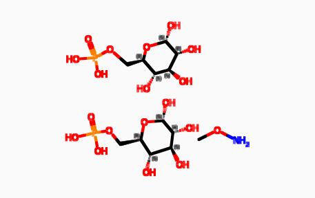 CON.O=P(O)(O)OC[C@H]1O[C@H](O)[C@H](O)[C@@H](O)[C@@H]1O.O=P(O)(O)OC[C@H]1O[C@H](O)[C@H](O)[C@@H](O)[C@@H]1O